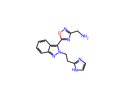 NCc1noc(-c2c3ccccc3nn2CCc2ncc[nH]2)n1